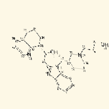 CN(Cc1nc2ccccc2n1C[C@H]1CCCN(CCCO)C1)[C@H]1CCCc2cccnc21